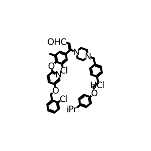 Cc1cc(/C(=C\C=O)N2CCN(Cc3ccc(CCOc4ccc(C(C)C)cc4)cc3)CC2)cc(Cl)c1Oc1ccc(OCc2ccccc2Cl)cn1.Cl